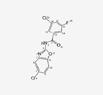 O=C(Nc1nc2cc(Cl)ccc2o1)c1cc(F)cc(Cl)c1